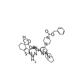 CN1CC2CCC(C1)N2c1cc(N2CCN(C(=O)OCc3ccccc3)CC2)cc(/C(N)=N/OC(=O)C2(C)CCCc3sc(N)c(C#N)c32)n1